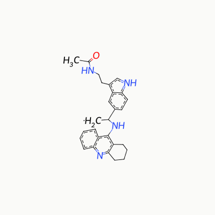 [CH2]C(Nc1c2c(nc3ccccc13)CCCC2)c1ccc2[nH]cc(CCNC(C)=O)c2c1